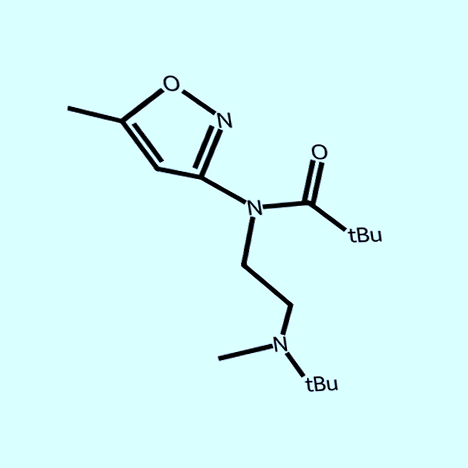 Cc1cc(N(CCN(C)C(C)(C)C)C(=O)C(C)(C)C)no1